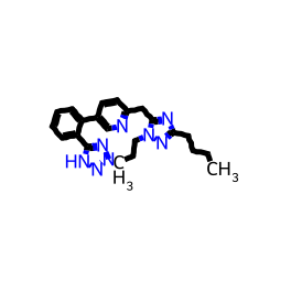 CCCCc1nc(Cc2ccc(-c3ccccc3-c3nnn[nH]3)cn2)n(CCC)n1